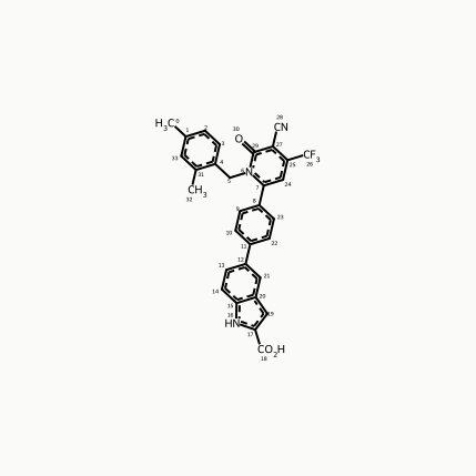 Cc1ccc(Cn2c(-c3ccc(-c4ccc5[nH]c(C(=O)O)cc5c4)cc3)cc(C(F)(F)F)c(C#N)c2=O)c(C)c1